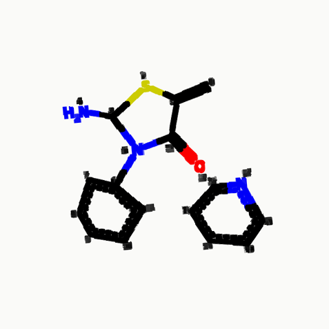 C=C1SC(N)N(c2ccccc2)C1=O.c1ccncc1